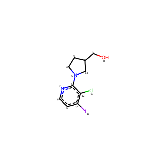 OCC1CCN(c2nccc(I)c2Cl)C1